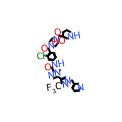 CN1C(C(=O)Nc2ccc(C(=O)N3CCN(C(=O)C4(O)CCCNC4)CC3)c(Cl)c2)=NCC1c1cn(Cc2cccnc2)nc1C(F)(F)F